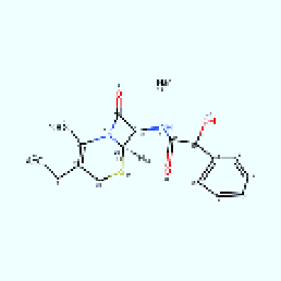 CC(=O)OCC1=C(C(=O)[O-])N2C(=O)[C@@H](NC(=O)C(O)c3ccccc3)[C@H]2SC1.[Na+]